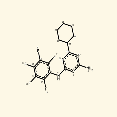 Nc1nc(Nc2c(F)c(F)c(F)c(F)c2F)nc(C2CCCCC2)n1